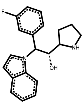 O[C@@H](C1CCCN1)C(c1cccc(F)c1)n1ccc2ccccc21